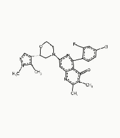 Cc1c([C@H]2CN(c3cc4nc(C)n(C)c(=O)c4c(-c4ccc(Cl)cc4F)n3)CCO2)cnn1C